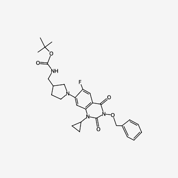 CC(C)(C)OC(=O)NCC1CCN(c2cc3c(cc2F)c(=O)n(OCc2ccccc2)c(=O)n3C2CC2)C1